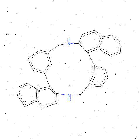 c1cc2cc(c1)-c1c(ccc3ccccc13)NCc1cccc(c1)-c1c(ccc3ccccc13)NC2